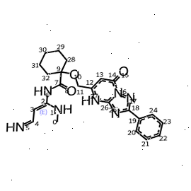 CN/C(=C\C=N)NC(=O)C1(OCc2cc(=O)n3nc(-c4ccccc4)nc3[nH]2)CCCCC1